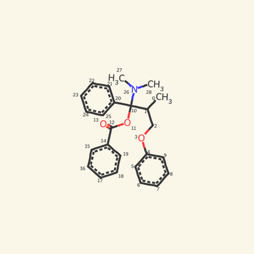 CC(COc1ccccc1)C(OC(=O)c1ccccc1)(c1ccccc1)N(C)C